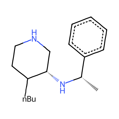 CCCCC1CCNC[C@@H]1N[C@@H](C)c1ccccc1